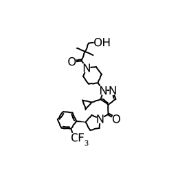 CC(C)(CO)C(=O)N1CCC(n2ncc(C(=O)N3CC[C@@H](c4ccccc4C(F)(F)F)C3)c2C2CC2)CC1